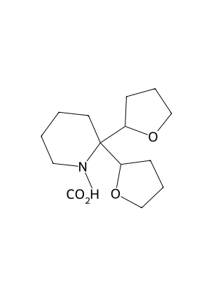 O=C(O)N1CCCCC1(C1CCCO1)C1CCCO1